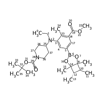 CCN(c1cc(B2OC3(C)C(C)[C@H](C)C3(C)O2)cc(C(=O)OC)c1C)C1CCN(C(=O)OC(C)(C)C)CC1